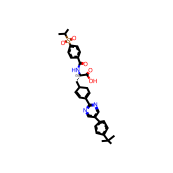 CC(C)S(=O)(=O)c1ccc(C(=O)N[C@@H](CC2C=CC(c3ncc(-c4ccc(C(C)(C)C)cc4)cn3)=CC2)C(=O)O)cc1